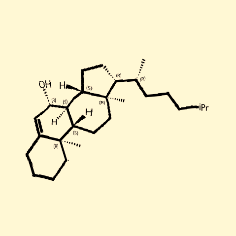 CC(C)CCC[C@@H](C)[C@H]1CC[C@H]2[C@@H]3[C@@H](O)C=C4CCC[CH][C@]4(C)[C@H]3CC[C@]12C